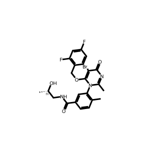 Cc1ccc(C(=O)NC[C@H](C)O)cc1-n1c(C)nc(=O)c(Br)c1OCc1ccc(F)cc1F